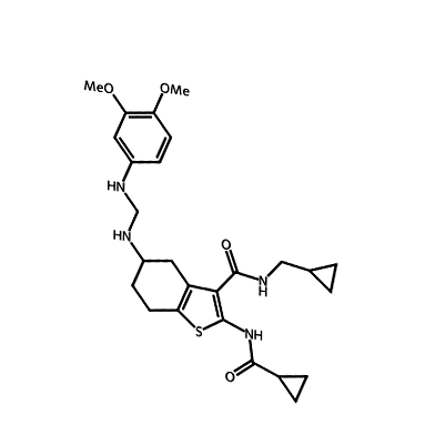 COc1ccc(NCNC2CCc3sc(NC(=O)C4CC4)c(C(=O)NCC4CC4)c3C2)cc1OC